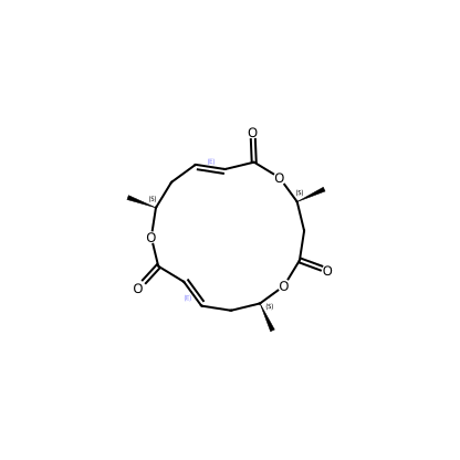 C[C@H]1C/C=C/C(=O)O[C@@H](C)CC(=O)O[C@@H](C)C/C=C/C(=O)O1